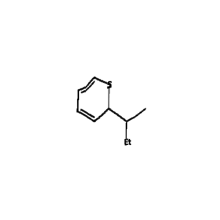 CCC(C)C1C=CC=CS1